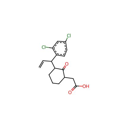 C=CC(c1ccc(Cl)cc1Cl)C1CCCC(CC(=O)O)C1=O